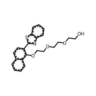 OCCOCCOCCOc1c(-c2nc3ccccc3s2)ccc2ccccc12